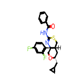 O=C(NC1=N[C@@]2(c3ccc(F)cc3F)CO[C@@H](CC3CC3)C[C@H]2CS1)c1ccccc1